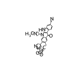 CCc1cc2c(=O)c3c4ccc(C#N)cc4[nH]c3n(C3CN(C)C3)c2cc1-c1cncc(S(=O)(=O)F)c1